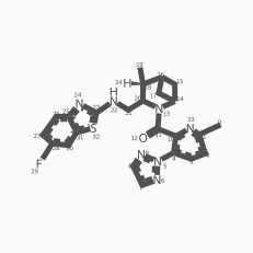 Cc1ccc(-n2nccn2)c(C(=O)N2C3CC(C3)[C@@H](C)C2CNc2nc3ccc(F)cc3s2)n1